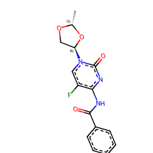 C[C@H]1OC[C@H](n2cc(F)c(NC(=O)c3ccccc3)nc2=O)O1